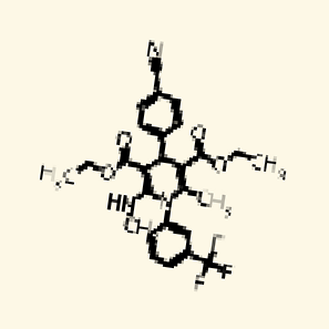 CCOC(=O)C1=C(C)N(c2cccc(C(F)(F)F)c2)C(NC)=C(C(=O)OCC)C1c1ccc(C#N)cc1